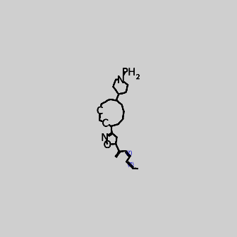 C=C(/C=C\C=C/C)C1CC(C2CCCCCC(C3CCN(P)CC3)CCCC2)=NO1